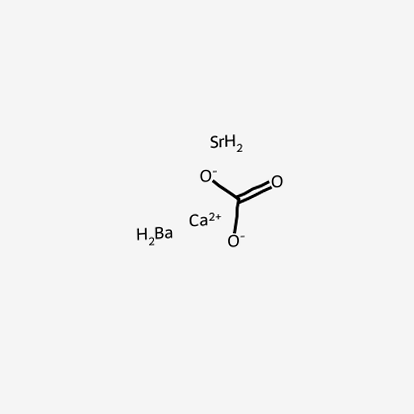 O=C([O-])[O-].[BaH2].[Ca+2].[SrH2]